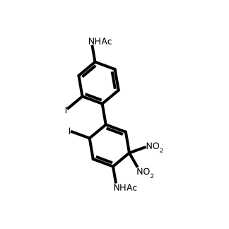 CC(=O)NC1=CC(I)C(c2ccc(NC(C)=O)cc2I)=CC1([N+](=O)[O-])[N+](=O)[O-]